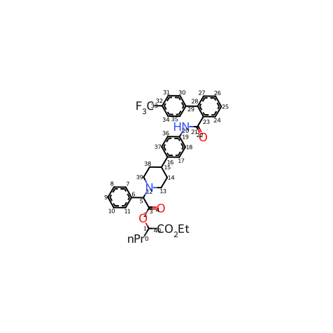 CCCC(OC(=O)C(c1ccccc1)N1CCC(c2ccc(NC(=O)c3ccccc3-c3ccc(C(F)(F)F)cc3)cc2)CC1)C(=O)OCC